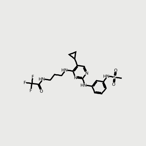 CS(=O)(=O)Nc1cccc(Nc2ncc(C3CC3)c(NCCCNC(=O)C(F)(F)F)n2)c1